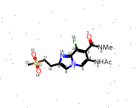 CNC(=O)c1c(NC(C)=O)cn2cc(CCS(C)(=O)=O)nc2c1F